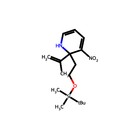 C=C(C)C1(CCO[Si](C)(C)C(C)(C)C)NC=CC=C1[N+](=O)[O-]